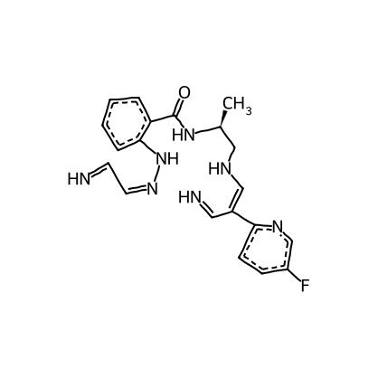 C[C@@H](CN/C=C(\C=N)c1ccc(F)cn1)NC(=O)c1ccccc1N/N=C\C=N